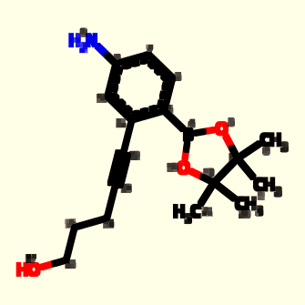 CC1(C)OB(c2ccc(N)cc2C#CCCCO)OC1(C)C